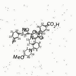 COC1CCN(c2cccc3c2CCN(C(=O)c2cc(-c4cccc(F)c4)no2)C3C(=O)Nc2ccc(C(=O)O)cc2)CC1